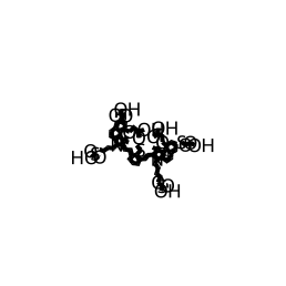 CSC1=C(/C=C/C2=[N+](CCCCOS(=O)O)c3ccc4cc(SOOO)cc(OCC(=O)O)c4c3C2(C)C)CCC/C1=C\C=C1\N(CCCCS(=O)(=O)O)c2ccc3cc(S(=O)(=O)O)cc(OCC(=O)O)c3c2C1(C)C